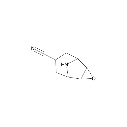 N#CC1CC2NC(C1)C1OC21